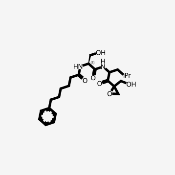 CC(C)CC(NC(=O)[C@H](CO)NC(=O)CCCCCc1ccccc1)C(=O)C1(CO)CO1